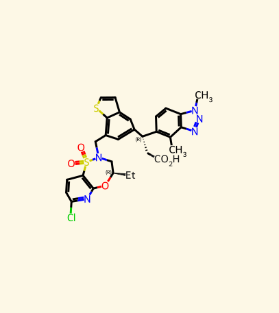 CC[C@@H]1CN(Cc2cc([C@@H](CC(=O)O)c3ccc4c(nnn4C)c3C)cc3ccsc23)S(=O)(=O)c2ccc(Cl)nc2O1